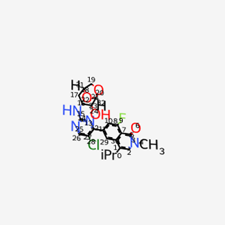 CC(C)c1cn(C)c(=O)c2c(F)cc(-c3nc(N[C@@H]4C[C@H]5CO[C@H](O5)[C@H]4O)ncc3Cl)cc12